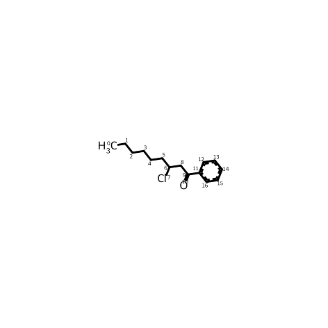 CCCCCCC(Cl)CC(=O)c1ccccc1